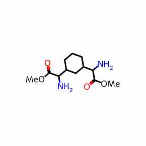 COC(=O)C(N)C1CCCC(C(N)C(=O)OC)C1